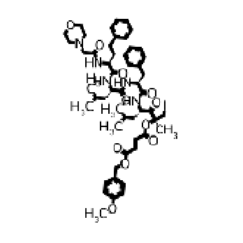 COc1ccc(COC(=O)CCC(=O)O[C@](C)(CI)C(=O)[C@H](CC(C)C)NC(=O)[C@H](Cc2ccccc2)NC(=O)[C@H](CC(C)C)NC(=O)[C@H](CCc2ccccc2)NC(=O)CN2CCOCC2)cc1